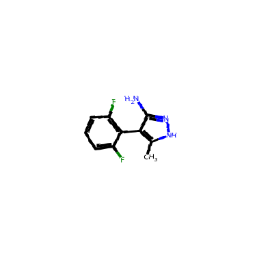 Cc1[nH]nc(N)c1-c1c(F)cccc1F